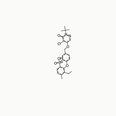 CCc1c(C)ccc(S(=O)(=O)O)c1Oc1ccc(COc2cnn(C(C)(C)C)c(=O)c2Cl)cc1